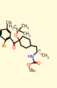 C[C@@H](CC1CCC(O[Si](C)(C)C)(C(=O)c2cc(C#N)ccc2Br)CC1)NC(=O)OC(C)(C)C